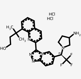 CC(C)(CCO)c1cccc2ccc(-c3nnc4ccc([C@@H](N5CCC(N)C5)C(F)(F)F)cn34)nc12.Cl.Cl